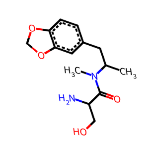 CC(Cc1ccc2c(c1)OCO2)N(C)C(=O)C(N)CO